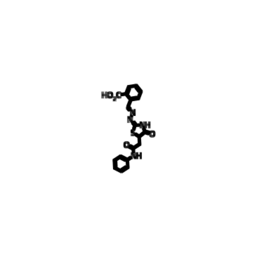 O=C(CC1S/C(=N/N=C/c2ccccc2C(=O)O)NC1=O)Nc1ccccc1